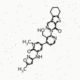 Cc1cc(Nc2cc(-c3ccnc(-n4ncc5c6c(sc5c4=O)CCCC6)c3CO)cn(C)c2=O)no1